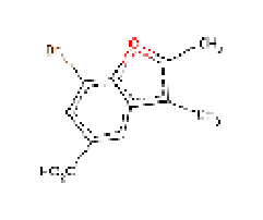 Cc1oc2c(Br)cc(C(=O)O)cc2c1C